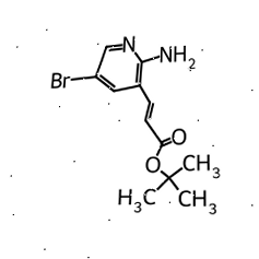 CC(C)(C)OC(=O)C=Cc1cc(Br)cnc1N